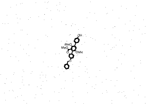 COC(=O)c1c(OC)c(-c2ccc(O)cc2)cc(OC)c1-c1ccc(OCc2ccccc2)cc1